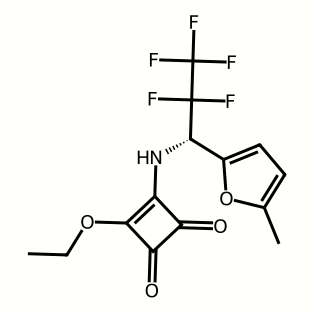 CCOc1c(N[C@@H](c2ccc(C)o2)C(F)(F)C(F)(F)F)c(=O)c1=O